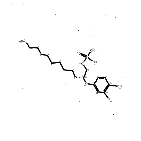 CCCCCCCCCCCCCCCCCCC[C@H](COP(=O)(O)O)Oc1ccc(C#N)c(F)c1